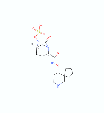 O=C(NOC1CCNCC12CCCC2)[C@@H]1CC[C@@H]2CN1C(=O)N2OS(=O)(=O)O